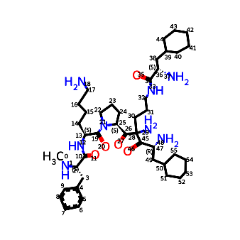 CN[C@@H](Cc1ccccc1)C(=O)N[C@@H](CCCCN)C(=O)N1CCC[C@H]1C(=O)C(N)(CCCNC(=O)[C@@H](N)CC1CCCCC1)C(=O)[C@H](N)CC1CCCCC1